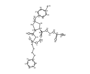 CCOP(=O)(CCCCc1ccccc1)CC(=O)N1C[C@@H](Oc2ccc(F)cc2)C[C@H]1C(=O)OCOC(=O)C(C)(C)C